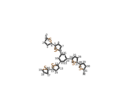 Cc1ccc(-c2ccc(-c3cc(-c4ccc(-c5cccs5)s4)cc(-c4ccc(-c5ccc(C)s5)s4)c3)s2)s1